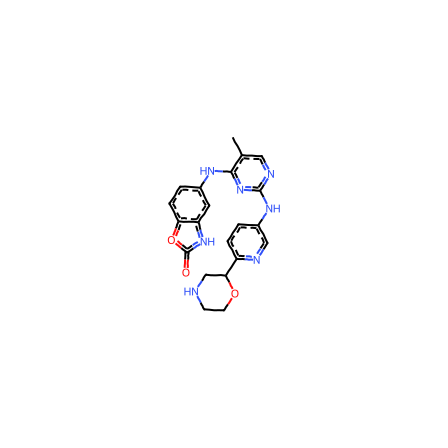 Cc1cnc(Nc2ccc(C3CNCCO3)nc2)nc1Nc1ccc2oc(=O)[nH]c2c1